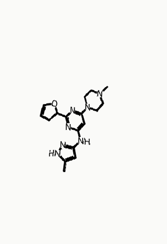 Cc1cc(Nc2cc(N3CCN(C)CC3)nc(C3CC=CO3)n2)n[nH]1